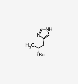 C[C@H](Cc1c[nH]cn1)C(C)(C)C